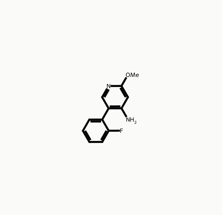 COc1cc(N)c(-c2ccccc2F)cn1